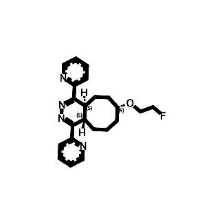 FCCO[C@@H]1CCC[C@@H]2C(c3ccccn3)=NN=C(c3ccccn3)[C@H]2CC1